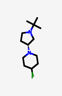 CC(C)(C)N1CC[C@@H](N2CCC(F)CC2)C1